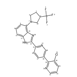 FC(F)(F)C1CCN(c2cccc3[nH]c(-c4ccc(-c5ncccc5Cl)cn4)nc23)C1